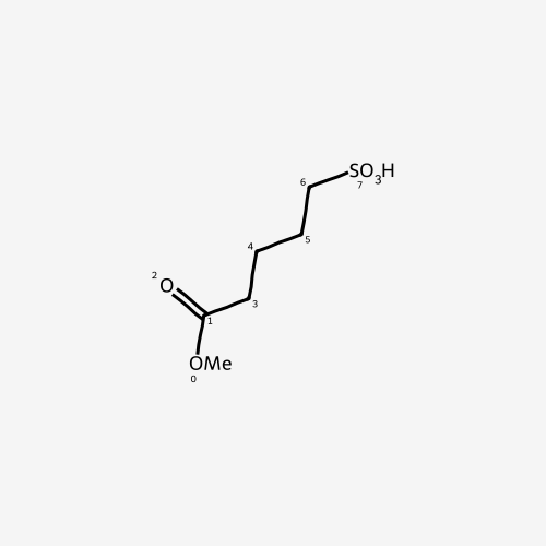 COC(=O)CCCCS(=O)(=O)O